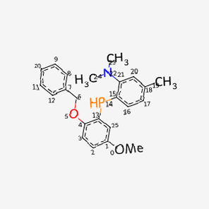 COc1ccc(OCc2ccccc2)c(Pc2ccc(C)cc2N(C)C)c1